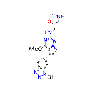 COc1nc(NCC2CNCCO2)nn2ccc(-c3ccc4nnn(C)c4c3)c12